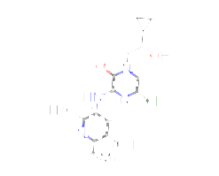 COc1nc(C)c(Nc2nc(Cl)cn(C[C@@H](O)C3CC3)c2=O)cc1C